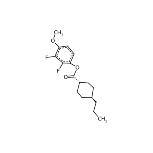 CCC[C@H]1CC[C@H](C(=O)Oc2ccc(OC)c(F)c2F)CC1